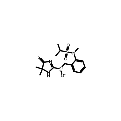 CC(C)S(=O)(=O)N(C)c1ccccc1C[S+]([O-])C1=NC(=S)C(C)(C)N1